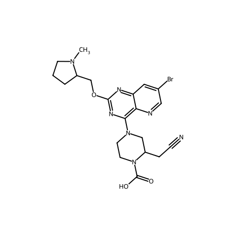 CN1CCCC1COc1nc(N2CCN(C(=O)O)C(CC#N)C2)c2ncc(Br)cc2n1